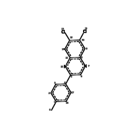 Cc1ccc(-c2cnc3cc(Cl)c(Cl)cc3n2)cc1